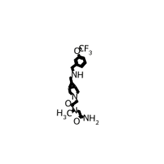 CN(CC(N)=O)C(=O)CN1CC2C(CNCc3cccc(OC(F)(F)F)c3)C2C1